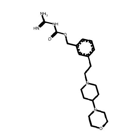 N=C(N)NC(=O)OCc1cccc(CCN2CCC(N3CCOCC3)CC2)c1